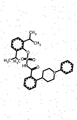 CC(C)c1cccc(C(C)C)c1OS(=O)(=O)NC(=O)c1ccccc1C1CCN(c2ccccc2)CC1